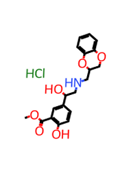 COC(=O)c1cc(C(O)CNCC2COc3ccccc3O2)ccc1O.Cl